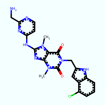 Cn1c(Nc2ccnc(CN)n2)nc2c1c(=O)n(Cc1cc3c(Cl)cccc3[nH]1)c(=O)n2C